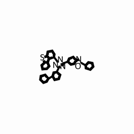 c1ccc(-c2cccc(-c3nc(-c4ccc5nc(-c6ccccc6)oc5c4)nc(-c4cccc5sc6ccccc6c45)n3)c2)cc1